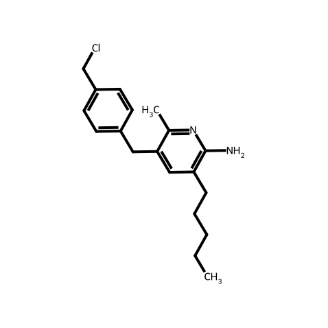 CCCCCc1cc(Cc2ccc(CCl)cc2)c(C)nc1N